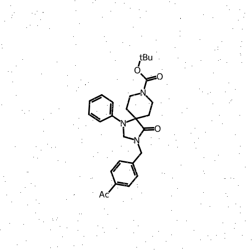 CC(=O)c1ccc(CN2CN(c3ccccc3)C3(CCN(C(=O)OC(C)(C)C)CC3)C2=O)cc1